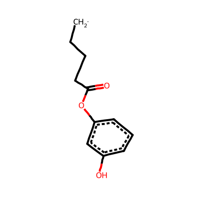 [CH2]CCCC(=O)Oc1cccc(O)c1